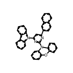 c1ccc2c(c1)Oc1ccccc1N2c1nc(-c2ccc3ccccc3c2)cc(-n2c3ccccc3c3ccccc32)n1